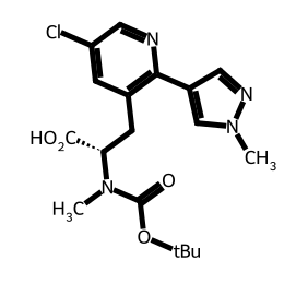 CN(C(=O)OC(C)(C)C)[C@@H](Cc1cc(Cl)cnc1-c1cnn(C)c1)C(=O)O